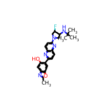 Cc1nc2cc(O)c(-c3ccc4nc(N5CC(F)C(NC(C)(C)C)C5)ccc4n3)cc2o1